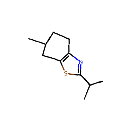 CC1CCc2nc(C(C)C)sc2C1